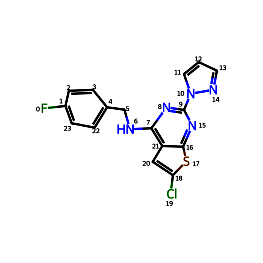 Fc1ccc(CNc2nc(-n3cccn3)nc3sc(Cl)cc23)cc1